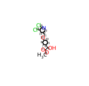 COC(=O)C(O)c1ccc(OCc2cnc(Cl)c(Cl)c2)cc1